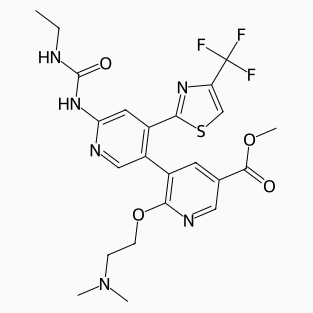 CCNC(=O)Nc1cc(-c2nc(C(F)(F)F)cs2)c(-c2cc(C(=O)OC)cnc2OCCN(C)C)cn1